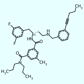 CCCC#Cc1cccc(CNC[CH][C@@H](Cc2cc(F)cc(F)c2)NC(=O)c2cc(C)cc(C(=O)N(CCC)CCC)c2)c1